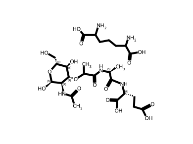 CC(=O)N[C@@H]1[C@@H](OC(C)C(=O)N[C@@H](C)C(=O)N[C@H](CCC(=O)O)C(=O)O)[C@H](O)[C@@H](CO)O[C@@H]1O.NC(CCCC(N)C(=O)O)C(=O)O